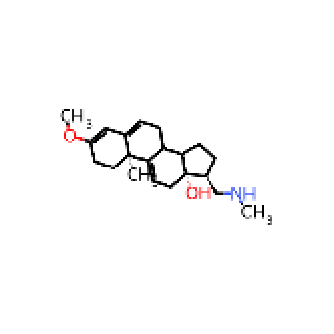 CNC[C@@H]1CCC2C3CC=C4C=C(OC)CC[C@]4(C)C3=CC[C@@]21O